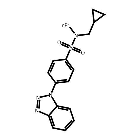 CCCN(CC1CC1)S(=O)(=O)c1ccc(-n2nnc3ccccc32)cc1